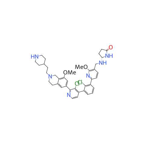 COc1cc(-c2nccc(-c3cccc(-c4ccc(CN[C@@H]5CCC(=O)N5)c(OC)n4)c3Cl)c2Cl)cc2c1CN(CCC1CCNCC1)CC2